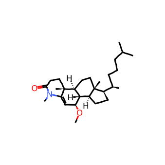 CO[C@H]1C=C2N(C)C(=O)CC[C@]2(C)[C@H]2CC[C@]3(C)[C@@H]([C@H](C)CCCC(C)C)CC[C@H]3[C@H]12